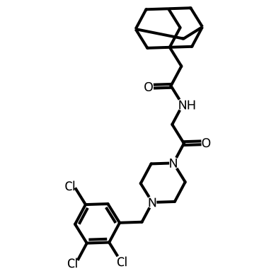 O=C(CC12CC3CC(CC(C3)C1)C2)NCC(=O)N1CCN(Cc2cc(Cl)cc(Cl)c2Cl)CC1